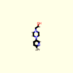 CC(C)c1ccc(N2CCN(CCO)CC2)cn1